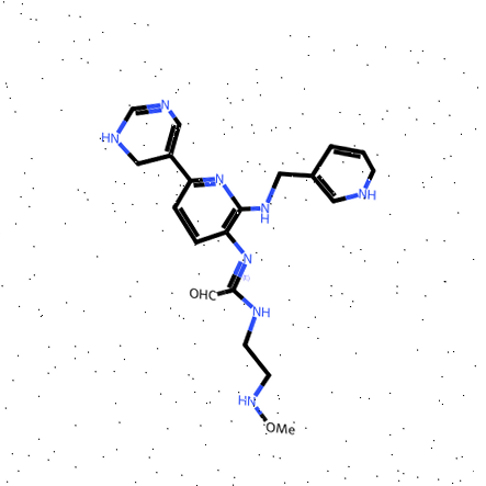 CONCCN/C(C=O)=N/c1ccc(C2=CN=CNC2)nc1NCC1=CNCC=C1